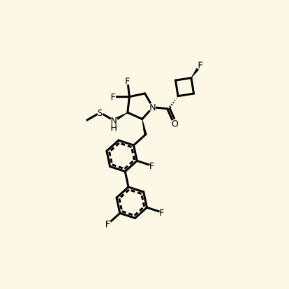 CSN[C@@H]1[C@H](Cc2cccc(-c3cc(F)cc(F)c3)c2F)N(C(=O)[C@H]2C[C@H](F)C2)CC1(F)F